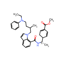 CCN(CCC(C)Cn1ccc2cccc(C(=O)N[C@@H](C)C3C=CC(C(=O)OC)=CC3)c21)c1ccccc1